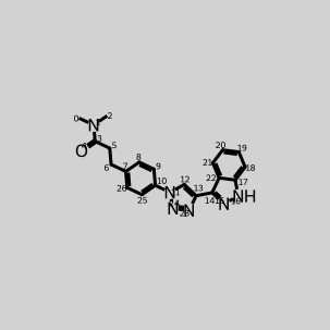 CN(C)C(=O)CCc1ccc(-n2cc(-c3n[nH]c4ccccc34)nn2)cc1